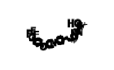 C=[N+](O)c1cn2c(n1)C[C@@](C)(CCc1ccc(N3CCC(Oc4ccc(OC(F)(F)F)cc4)CC3)cc1)C2